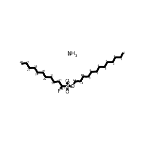 CCCCCCCCCCCCCOS(=O)(=O)C(F)CCCCCCCCCC.N